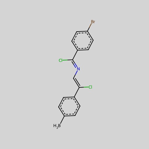 Bc1ccc(/C(Cl)=C/N=C(\Cl)c2ccc(Br)cc2)cc1